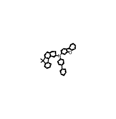 CC1(C)c2ccccc2-c2c1ccc1ccc(N(c3ccc(-c4ccccc4)cc3)c3ccc4c(c3)oc3ccccc34)cc21